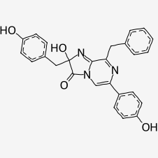 O=C1N2C=C(c3ccc(O)cc3)N=C(Cc3ccccc3)C2=NC1(O)Cc1ccc(O)cc1